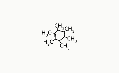 CC1=C(C)C(C)C(C)C(C)C1C